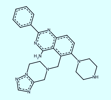 Nc1nc(-c2ccccc2)nc2ccc(N3CCNCC3)c(CN3CCn4ncnc4C3)c12